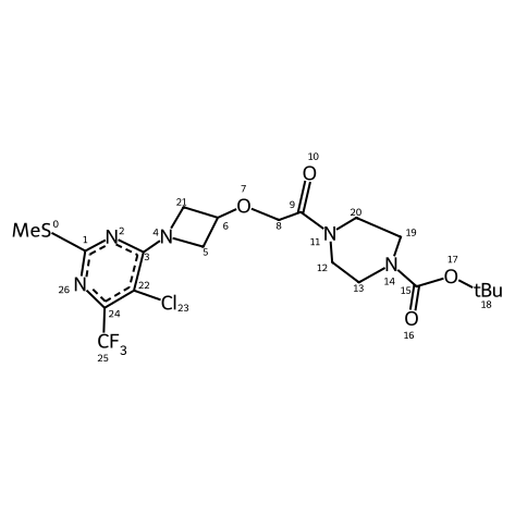 CSc1nc(N2CC(OCC(=O)N3CCN(C(=O)OC(C)(C)C)CC3)C2)c(Cl)c(C(F)(F)F)n1